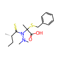 CC[C@H](C)C(=S)N(N(C)C)C(C)(SCc1ccccc1)C(=O)O